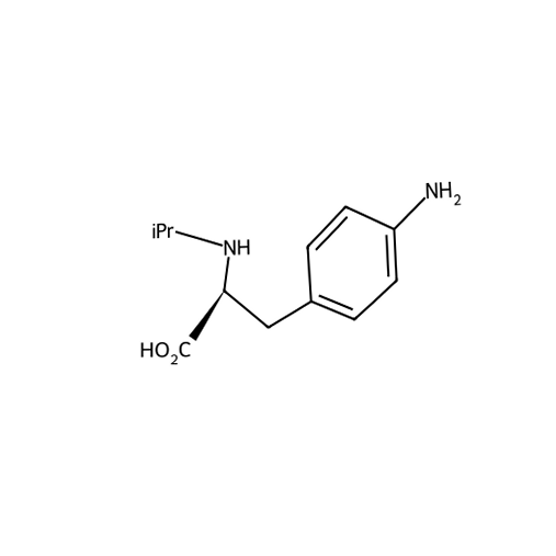 CC(C)N[C@@H](Cc1ccc(N)cc1)C(=O)O